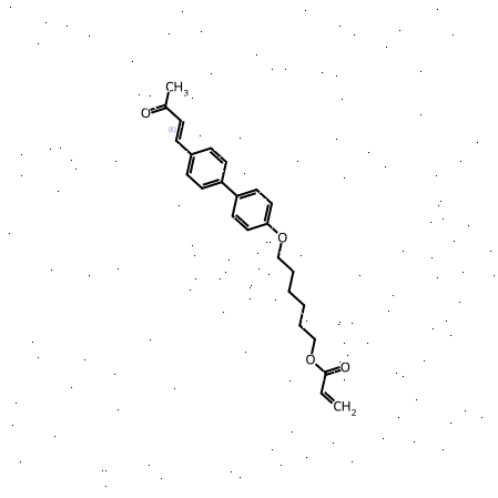 C=CC(=O)OCCCCCCOc1ccc(-c2ccc(/C=C/C(C)=O)cc2)cc1